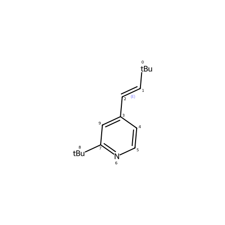 CC(C)(C)/C=C/c1ccnc(C(C)(C)C)c1